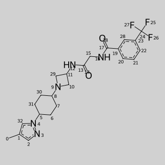 Cc1cnn(C2CCC(N3CC(NC(=O)CNC(=O)c4cccc(C(F)(F)F)c4)C3)CC2)c1